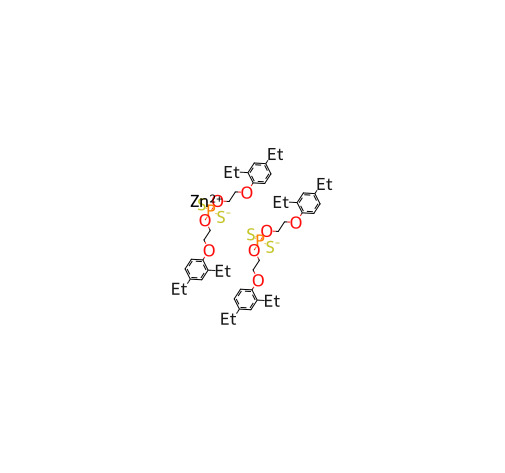 CCc1ccc(OCCOP(=S)([S-])OCCOc2ccc(CC)cc2CC)c(CC)c1.CCc1ccc(OCCOP(=S)([S-])OCCOc2ccc(CC)cc2CC)c(CC)c1.[Zn+2]